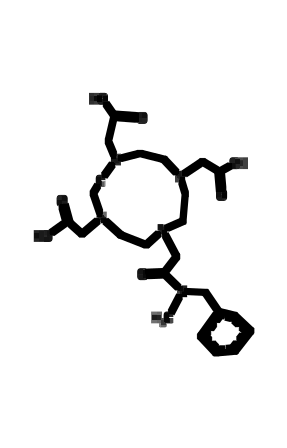 CN(Cc1ccccc1)C(=O)CN1CCN(CC(=O)O)CCN(CC(=O)O)CCN(CC(=O)O)CC1